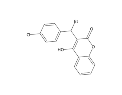 CCC(c1ccc(Cl)cc1)c1c(O)c2ccccc2oc1=O